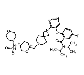 CC(C)N(C(=O)c1cc(F)ccc1Oc1cncnc1N1CC2(CCN(C[C@@H]3CC[C@@H](N(N4CCOCC4)[SH](=O)=O)CO3)CC2)C1)C(C)C